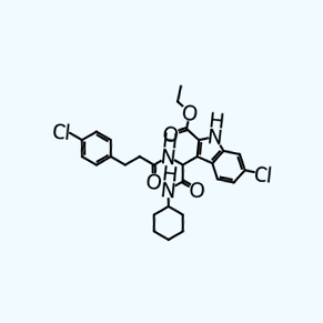 CCOC(=O)c1[nH]c2cc(Cl)ccc2c1C(NC(=O)CCc1ccc(Cl)cc1)C(=O)NC1CCCCC1